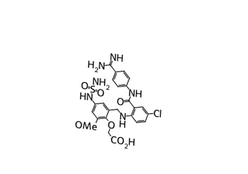 COc1cc(NS(N)(=O)=O)cc(CNc2ccc(Cl)cc2C(=O)Nc2ccc(C(=N)N)cc2)c1OCC(=O)O